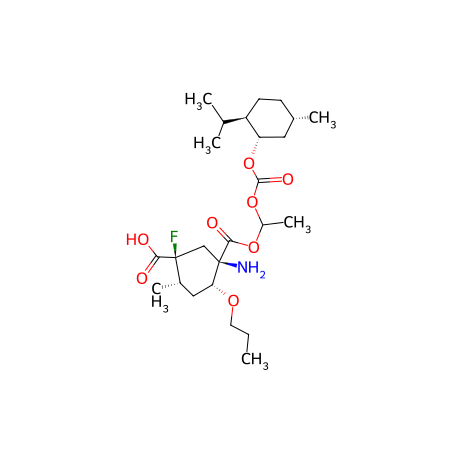 CCCO[C@@H]1C[C@H](C)[C@](F)(C(=O)O)C[C@]1(N)C(=O)OC(C)OC(=O)O[C@H]1C[C@@H](C)CC[C@@H]1C(C)C